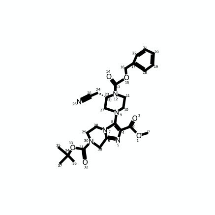 COC(=O)c1nc2n(c1N1CCN(C(=O)OCc3ccccc3)[C@@H](CC#N)C1)CCN(C(=O)OC(C)(C)C)C2